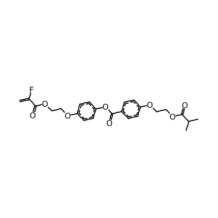 C=C(F)C(=O)OCCOc1ccc(OC(=O)c2ccc(OCCOC(=O)C(C)C)cc2)cc1